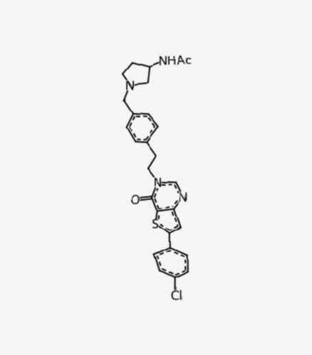 CC(=O)NC1CCN(Cc2ccc(CCn3cnc4cc(-c5ccc(Cl)cc5)sc4c3=O)cc2)C1